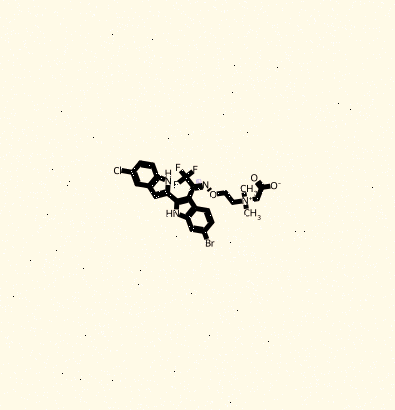 C[N+](C)(CCO/N=C(\c1c(-c2cc3cc(Cl)ccc3[nH]2)[nH]c2cc(Br)ccc12)C(F)(F)F)CC(=O)[O-]